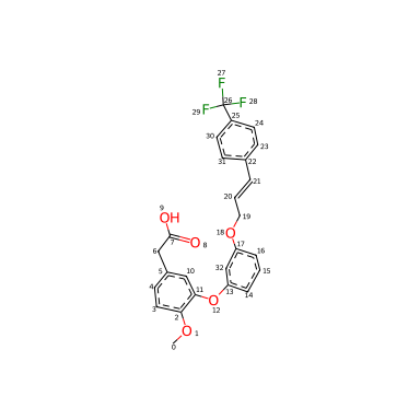 COc1ccc(CC(=O)O)cc1Oc1cccc(OC/C=C/c2ccc(C(F)(F)F)cc2)c1